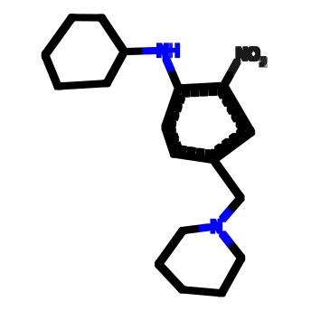 O=[N+]([O-])c1cc(CN2CCCCC2)ccc1NC1CCCCC1